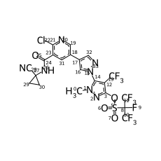 Cn1nc(OS(=O)(=O)C(F)(C(F)(F)F)C(F)(F)F)c(C(F)(F)F)c1-n1cc(-c2cnc(Cl)c(C(=O)NC3(C#N)CC3)c2)cn1